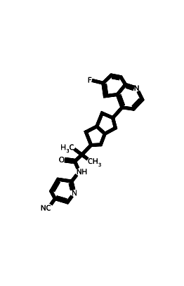 CC(C)(C(=O)Nc1ccc(C#N)cn1)C1CC2CC(c3ccnc4ccc(F)cc34)CC2C1